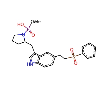 COP(=O)(O)N1CCCC1Cc1c[nH]c2ccc(CCS(=O)(=O)c3ccccc3)cc12